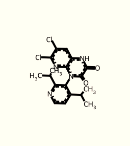 CC(C)c1ccnc(C(C)C)c1-n1c(=O)c(=O)[nH]c2cc(Cl)c(Cl)nc21